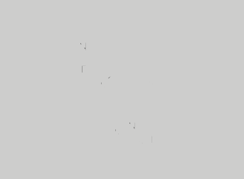 C[C@@H](c1cccnc1F)c1c(CCN(C)C)sc2ccccc12